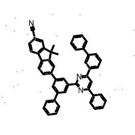 CC1(C)c2cc(C#N)ccc2-c2ccc(-c3cc(-c4ccccc4)cc(-c4nc(-c5ccccc5)cc(-c5cccc(-c6ccccc6)c5)n4)c3)cc21